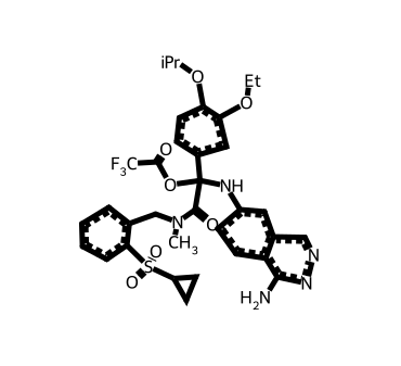 CCOc1cc(C(Nc2ccc3c(N)nncc3c2)(OC(=O)C(F)(F)F)C(=O)N(C)Cc2ccccc2S(=O)(=O)C2CC2)ccc1OC(C)C